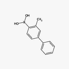 Cc1cc(-c2ccccc2)ccc1B(O)O